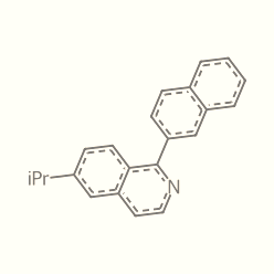 CC(C)c1ccc2c(-c3ccc4ccccc4c3)nccc2c1